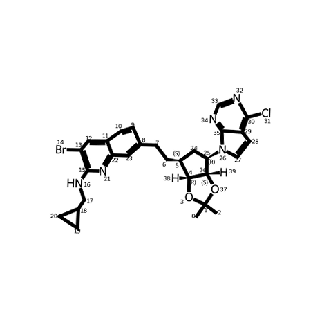 CC1(C)O[C@@H]2[C@@H](CCc3ccc4cc(Br)c(NCC5CC5)nc4c3)C[C@@H](n3ccc4c(Cl)ncnc43)[C@@H]2O1